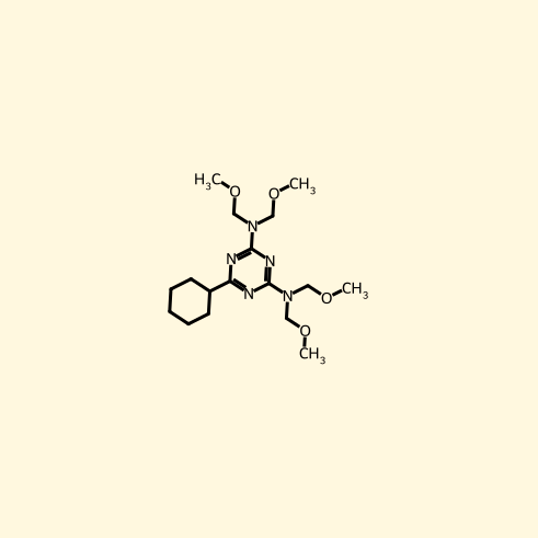 COCN(COC)c1nc(C2CCCCC2)nc(N(COC)COC)n1